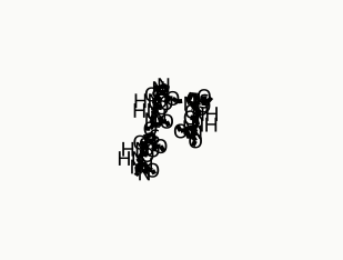 CCOC(=O)c1cnn(C)c1S(=O)(=O)NC(=O)Nc1nc(OC)cc(OC)n1.CCS(=O)(=O)c1cccnc1S(=O)(=O)NC(=O)Nc1nc(OC)cc(OC)n1.COC(=O)c1sccc1S(=O)(=O)NC(=O)Nc1nc(C)nc(OC)n1